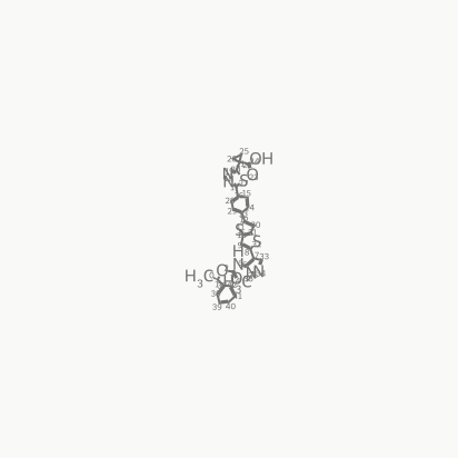 C[C@@H](OC(=O)Nc1c(-c2cc3sc(-c4ccc(-c5nnc(C6(C(=O)O)CC6)s5)cc4)cc3s2)cnn1C)c1ccccc1